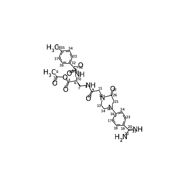 CC(=O)OC(=O)[C@H](CNC(=O)CN1CCN(c2ccc(C(=N)N)cc2)CC1=O)NS(=O)(=O)c1ccc(C)cc1